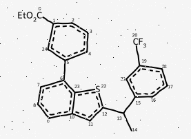 CCOC(=O)c1cccc(-c2cccc3cc(C(C)c4cccc(C(F)(F)F)c4)sc23)c1